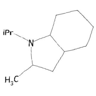 CC(C)N1C(C)CC2CCCCC21